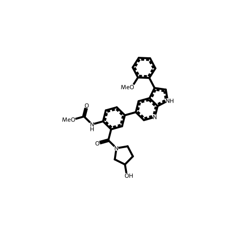 COC(=O)Nc1ccc(-c2cnc3[nH]cc(-c4ccccc4OC)c3c2)cc1C(=O)N1CCC(O)C1